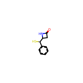 O=C1CC([C@H](S)c2ccccc2)N1